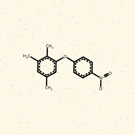 Cc1cc(C)c(C)c(Oc2ccc([N+](=O)[O-])cc2)c1